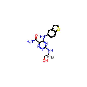 CC[C@H](CO)Nc1nnc(C(N)=O)c(Nc2ccc3sccc3c2)n1